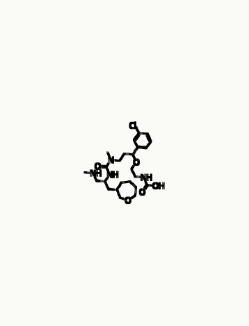 CNC[C@H](C[C@H]1CCCCOC1)NC(=O)N(C)CCC(OCCNC(=O)O)c1cccc(Cl)c1